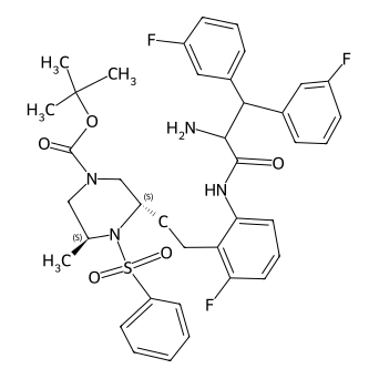 C[C@H]1CN(C(=O)OC(C)(C)C)C[C@H](CCc2c(F)cccc2NC(=O)C(N)C(c2cccc(F)c2)c2cccc(F)c2)N1S(=O)(=O)c1ccccc1